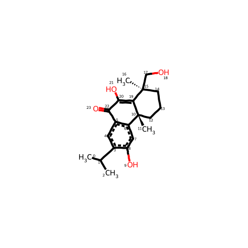 CC(C)c1cc2c(cc1O)[C@@]1(C)CCC[C@](C)(CO)C1=C(O)C2=O